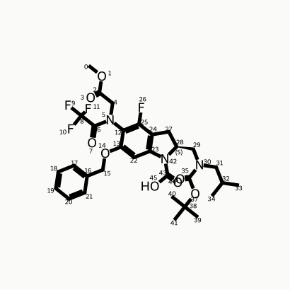 COC(=O)CN(C(=O)C(F)(F)F)c1c(OCc2ccccc2)cc2c(c1F)C[C@@H](CN(CC(C)C)C(=O)OC(C)(C)C)N2C(=O)O